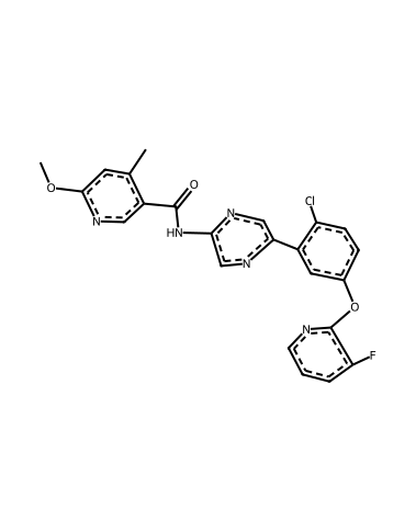 COc1cc(C)c(C(=O)Nc2cnc(-c3cc(Oc4ncccc4F)ccc3Cl)cn2)cn1